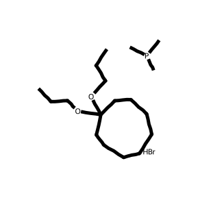 Br.CCCOC1(OCCC)CCCCCCCC1.CP(C)C